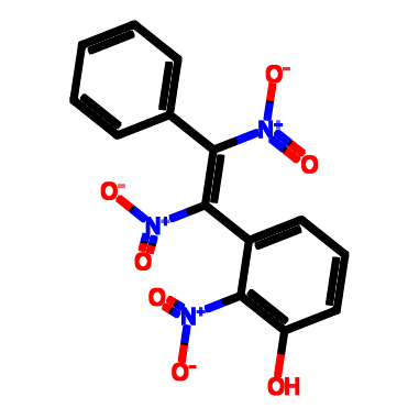 O=[N+]([O-])C(=C(c1cccc(O)c1[N+](=O)[O-])[N+](=O)[O-])c1ccccc1